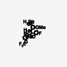 COc1cc(NC(C(=O)c2c[nH]c3ccc(OC(F)(F)F)cc23)c2ccc(F)cc2OC)cc(S(C)(=O)=O)c1